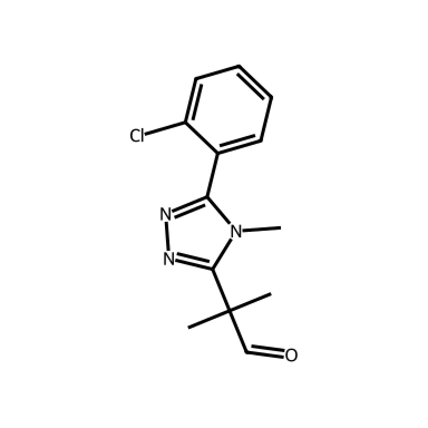 Cn1c(-c2ccccc2Cl)nnc1C(C)(C)C=O